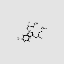 COCCC(C)Cc1cn(C[C@H](C)CO)c2cc(Br)ccc12